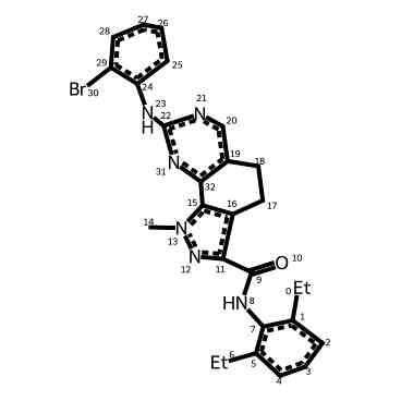 CCc1cccc(CC)c1NC(=O)c1nn(C)c2c1CCc1cnc(Nc3ccccc3Br)nc1-2